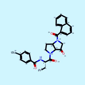 CC(C)C[C@H](NC(=O)c1ccc(C(C)(C)C)cc1)C(=O)N1CCC2C1C(=O)CN2C(=O)c1cccc2ccccc12